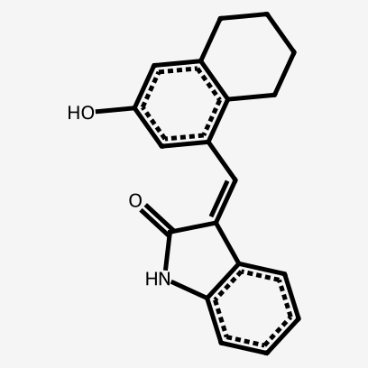 O=C1Nc2ccccc2C1=Cc1cc(O)cc2c1CCCC2